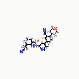 Cc1ncc(NC(=O)c2ccnc(C(C)(C)C#N)c2)cc1-c1cnc(C2CCOCC2)c(C#N)c1